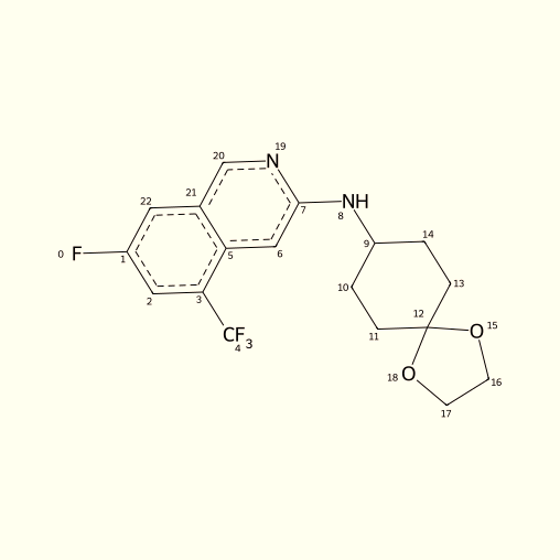 Fc1cc(C(F)(F)F)c2cc(NC3CCC4(CC3)OCCO4)ncc2c1